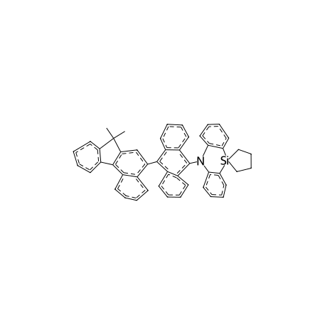 CC1(C)c2ccccc2-c2c1cc(-c1c3ccccc3c(N3c4ccccc4[Si]4(CCCC4)c4ccccc43)c3ccccc13)c1ccccc21